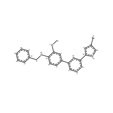 COc1cc(-c2cncc(-c3cc(Br)cs3)n2)ccc1OCc1ccccc1